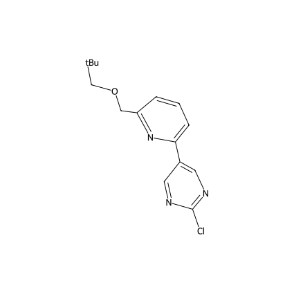 CC(C)(C)COCc1cccc(-c2cnc(Cl)nc2)n1